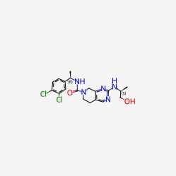 C[C@@H](CO)Nc1ncc2c(n1)CN(C(=O)N[C@H](C)c1ccc(Cl)c(Cl)c1)CC2